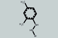 Cc1ccc(NNBr)c(C)c1